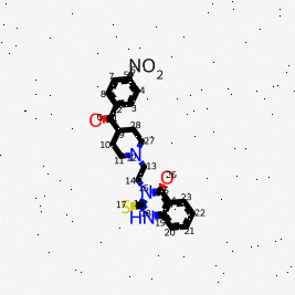 O=C(c1ccc([N+](=O)[O-])cc1)C1CCN(CCn2c(=S)[nH]c3ccccc3c2=O)CC1